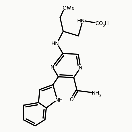 COCC(CNC(=O)O)Nc1cnc(C(N)=O)c(-c2cc3ccccc3[nH]2)n1